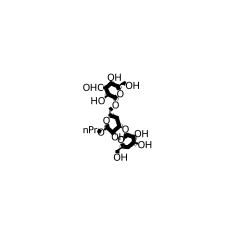 CCCO[C@H]1O[C@H](CO[C@H]2O[C@H](CO)[C@@H](O)[C@H](C=O)[C@@H]2O)C[C@H](O[C@H]2O[C@H](CO)C[C@H](O)[C@@H]2O)[C@@H]1O